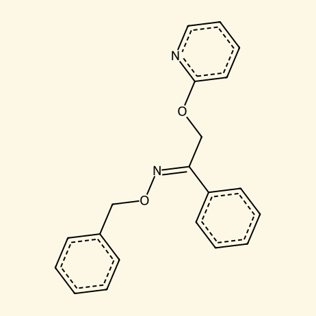 c1ccc(CO/N=C(/COc2ccccn2)c2ccccc2)cc1